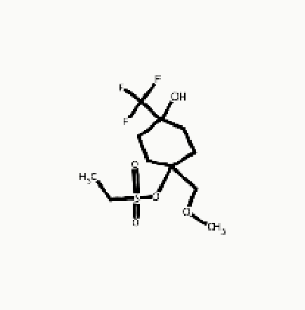 CCS(=O)(=O)OC1(COC)CCC(O)(C(F)(F)F)CC1